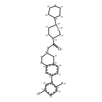 O=C(CN1CCc2cc(-c3cc(F)ccc3F)ccc2C1)N1CCN(C2CCCCC2)CC1